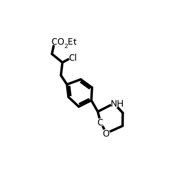 CCOC(=O)CC(Cl)Cc1ccc(C2COCCN2)cc1